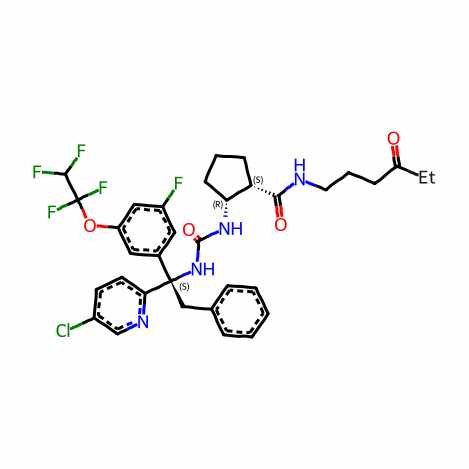 CCC(=O)CCCNC(=O)[C@H]1CCC[C@H]1NC(=O)N[C@@](Cc1ccccc1)(c1cc(F)cc(OC(F)(F)C(F)F)c1)c1ccc(Cl)cn1